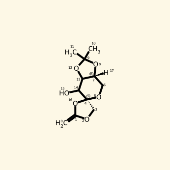 C=C1OC[C@]2(OC[C@H]3OC(C)(C)OC3C2O)O1